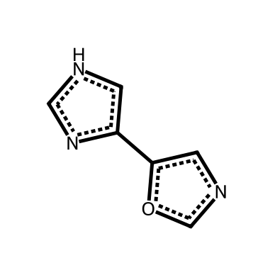 c1nc(-c2cnco2)c[nH]1